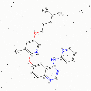 Cc1cc(OCCCC(C)C)cnc1Oc1ccc2ncnc(Nc3ccccn3)c2c1